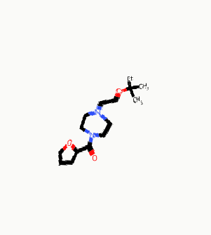 CCC(C)(C)OCCN1CCN(C(=O)C2CCCO2)CC1